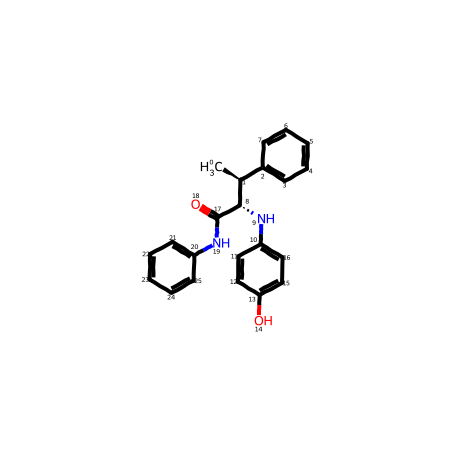 C[C@@H](c1ccccc1)[C@H](Nc1ccc(O)cc1)C(=O)Nc1ccccc1